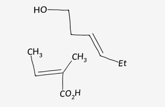 CC=C(C)C(=O)O.CCC=CCCO